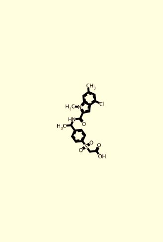 Cc1cc(Cl)c2cc(C(=O)NC(C)c3ccc(S(=O)(=O)CC(=O)O)cc3)n(C)c2c1